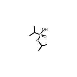 CC(C)OP(=O)(O)C(C)C